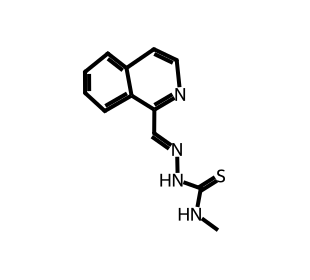 CNC(=S)N/N=C/c1nccc2ccccc12